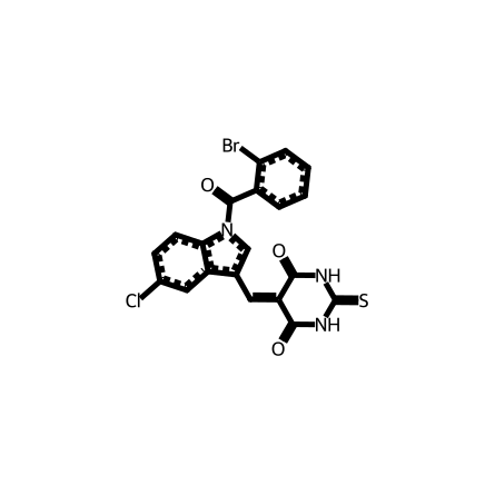 O=C1NC(=S)NC(=O)C1=Cc1cn(C(=O)c2ccccc2Br)c2ccc(Cl)cc12